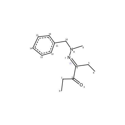 CCC(=O)/C(CC)=N/N(C)Cc1ccccc1